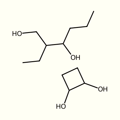 CCCC(O)C(CC)CO.OC1CCC1O